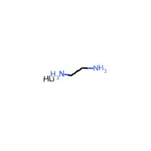 NCCN.[LiH]